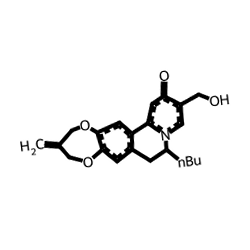 C=C1COc2cc3c(cc2OC1)-c1cc(=O)c(CO)cn1C(CCCC)C3